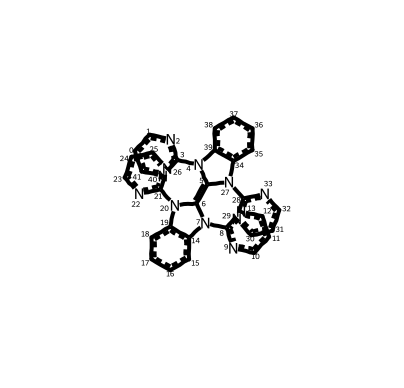 c1cnc(N2C(=C3N(c4ncccn4)c4ccccc4N3c3ncccn3)N(c3ncccn3)c3ccccc32)nc1